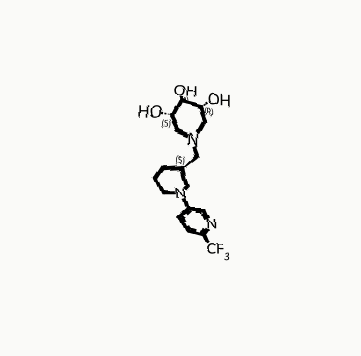 O[C@H]1[C@H](O)CN(C[C@@H]2CCCN(c3ccc(C(F)(F)F)nc3)C2)C[C@@H]1O